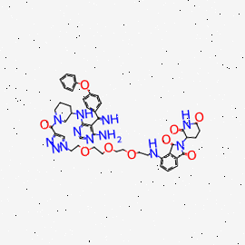 N=C(c1ccc(Oc2ccccc2)cc1)c1c(N)ncnc1NC1CCCN(C(=O)c2cn(CCOCCOCCOCCNc3cccc4c3C(=O)N(C3CCC(=O)NC3=O)C4=O)nn2)C1